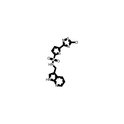 O=S(=O)(NCc1c[nH]c2ncccc12)c1ccc(-c2nsc(Cl)n2)s1